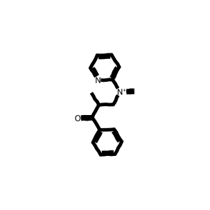 C=[N+](CC(C)C(=O)c1ccccc1)c1ccccn1